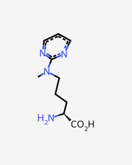 CN(CCC[C@H](N)C(=O)O)c1ncccn1